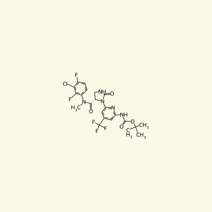 CN(C(=O)[C@@H]1CNC(=O)N1c1cc(C(F)(F)F)cc(NC(=O)OC(C)(C)C)n1)c1ccc(F)c(Cl)c1F